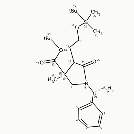 C[C@H](c1ccccc1)N1C[C@@](C)(C(=O)OC(C)(C)C)C(CCO[Si](C)(C)C(C)(C)C)C1=O